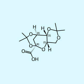 CC1(C)OC[C@@H]2O[C@]3(C(=O)O)C[C@@H](OC(C)(C)O3)[C@@H]2O1